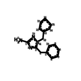 Nc1nc(Cc2ccccc2)n(Cc2ccccc2)n1